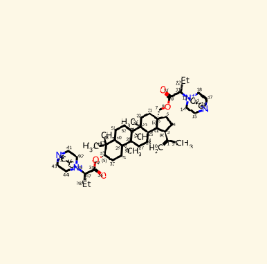 C=C(C)[C@@H]1CC[C@]2(COC(=O)C(CC)[N+]34CCN(CC3)CC4)CC[C@]3(C)C(CCC4[C@@]5(C)CC[C@H](OC(=O)C(CC)[N+]67CCN(CC6)CC7)C(C)(C)C5CC[C@]43C)C12